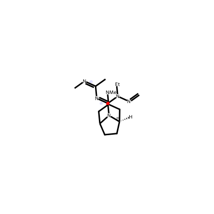 C=NN(CC)/C(=N\C(C)=N/C)N1C2CC[C@@H]1CC(NC)C2